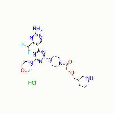 Cl.Nc1ncc(-c2nc(N3CCOCC3)nc(N3CCN(C(=O)COCC4CCCNC4)CC3)n2)c(C(F)F)n1